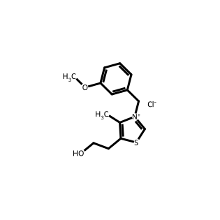 COc1cccc(C[n+]2csc(CCO)c2C)c1.[Cl-]